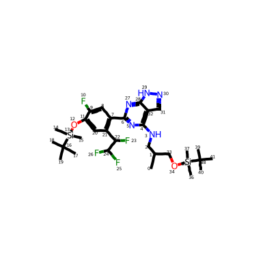 CC(CNc1nc(-c2cc(F)c(O[Si](C)(C)C(C)(C)C)cc2C(F)C(F)F)nc2[nH]ncc12)CO[Si](C)(C)C(C)(C)C